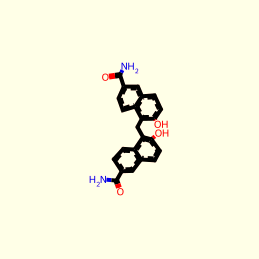 NC(=O)c1ccc2c(Cc3c(O)ccc4cc(C(N)=O)ccc34)c(O)ccc2c1